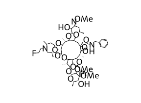 CON=C1C[C@@H](C)O[C@@H](O[C@@H]2[C@@H](C)[C@H](O[C@H]3CC(C)N(CCF)C[C@H](C)O3)[C@@H](C)C(=O)O[C@H]([C@@H](C)CO[C@@H]3O[C@H](C)[C@@H](O)[C@@H](OC)[C@H]3OC)[C@H](C)[C@@H](OC(=O)CC(C)C)[C@@H](C)C(=O)[C@@](C)(OC(=O)NCc3ccccc3)C[C@@H]2C)[C@@H]1O